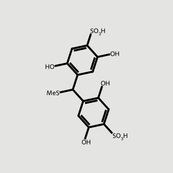 CSC(c1cc(O)c(S(=O)(=O)O)cc1O)c1cc(O)c(S(=O)(=O)O)cc1O